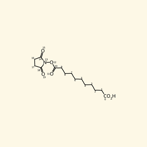 O=C(O)CCCCCCCCCC(=O)ON1C(=O)CCC1=O